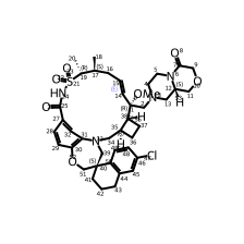 CO[C@@]1(CN2CCN3C(=O)COC[C@@H]3C2)/C=C/C[C@H](C)[C@@H](C)S(=O)(=O)NC(=O)c2ccc3c(c2)N(C[C@@H]2CC[C@H]21)C[C@@]1(CCCc2cc(Cl)ccc21)CO3